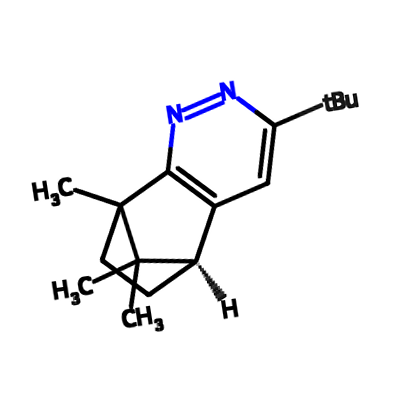 CC(C)(C)c1cc2c(nn1)C1(C)CC[C@H]2C1(C)C